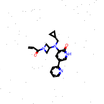 C=CC(=O)N1CC(N(CC2CC2)c2cc(-c3ccccn3)c[nH]c2=O)C1